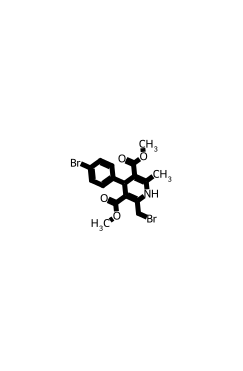 COC(=O)C1=C(C)NC(CBr)=C(C(=O)OC)C1c1ccc(Br)cc1